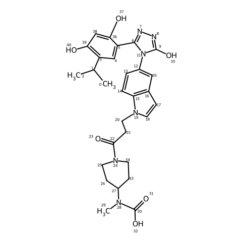 CC(C)c1cc(-c2nnc(O)n2-c2ccc3c(ccn3CCC(=O)N3CCC(N(C)C(=O)O)CC3)c2)c(O)cc1O